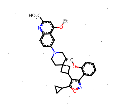 CCOc1cc(C(=O)O)nc2ccc(N3CCC4(CC3)CC(c3c(-c5ccccc5OC(F)(F)F)noc3C3CC3)C4)cc12